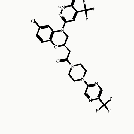 O=C(C[C@@H]1CN(c2cc(C(F)(F)F)c(=O)[nH]n2)c2cc(Cl)ccc2O1)N1CCN(c2cnc(C(F)(F)F)cn2)CC1